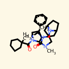 CC(C)N1C(=O)N(C)CC12CC1CCC(C2)N1C[C@H]1CN(C(=O)C2(C)CCCCC2)C[C@@H]1c1ccccc1